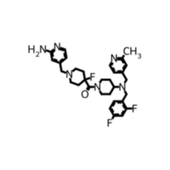 Cc1cc(CN(Cc2ccc(F)cc2F)C2CCN(C(=O)C3(F)CCN(Cc4ccnc(N)c4)CC3)CC2)ccn1